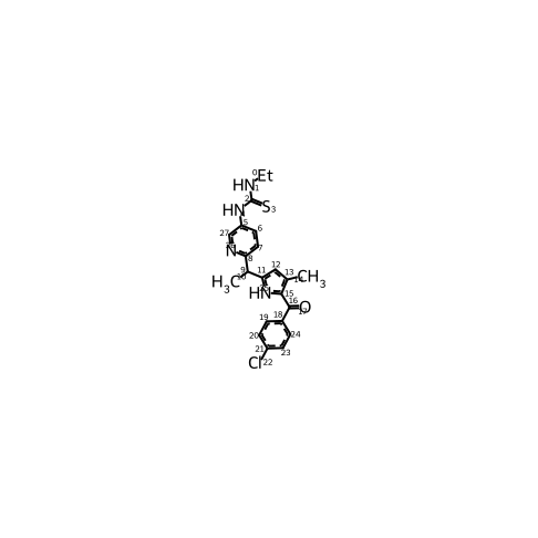 CCNC(=S)Nc1ccc(C(C)c2cc(C)c(C(=O)c3ccc(Cl)cc3)[nH]2)nc1